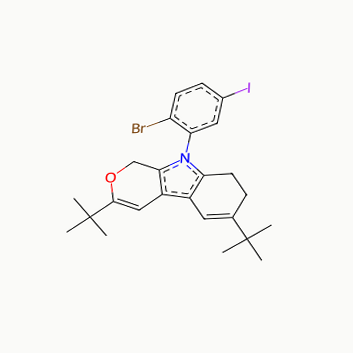 CC(C)(C)C1=Cc2c3c(n(-c4cc(I)ccc4Br)c2CC1)COC(C(C)(C)C)=C3